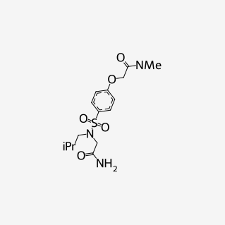 CNC(=O)COc1ccc(S(=O)(=O)N(CC(N)=O)CC(C)C)cc1